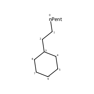 [CH2]CCCCCCC1CC[CH]CC1